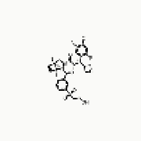 O=C(N[C@@H](c1cc(F)c(Cl)cc1F)C1COC1)[C@H]1C[C@H]2C#C[C@H]2N1C(=O)c1cccc(S(=O)(=O)CCO)c1